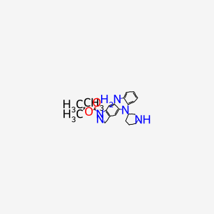 CC(C)(C)OC(=O)n1ncc2cc(N(c3ccccc3N)C3CCCNC3)ccc21